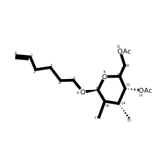 C=CCCCCO[C@H]1OC(COC(C)=O)[C@H](OC(C)=O)[C@H](C)C1C